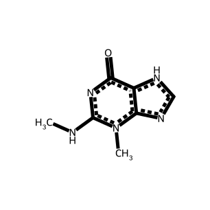 CNc1nc(=O)c2[nH]cnc2n1C